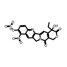 CCC1(O)C(=O)OCc2c1cc1n(c2=O)Cc2cc3c([N+](=O)[O-])c(O[SH](=O)=O)ccc3nc2-1